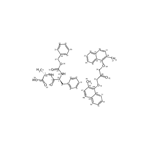 C[C@H](NC(=O)[C@H](Cc1ccccc1)NC(=O)OCc1ccccc1)C(=O)O.Cc1ccc2ccccc2c1OCC(=O)COc1c(C)ccc2ccccc12